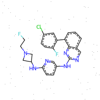 FCCN1CC(Nc2ccc(Nc3ncc4cccc(-c5cc(Cl)ccc5F)c4n3)cn2)C1